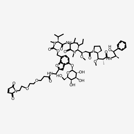 CCC(C)[C@@H]([C@@H](CC(=O)N1CCC[C@H]1[C@H](OC)[C@@H](C)C(=O)N[C@H](C)[C@@H](O)c1ccccc1)OC)N(C)C(=O)[C@@H](NC(=O)[C@H](C(C)C)N(C)C(=O)OCc1ccc(O[C@@H]2O[C@H](CO)[C@H](O)[C@H](O)[C@H]2O)c2cc(CNC(=O)CCOCCOCCN3C(=O)C=CC3=O)oc12)C(C)C